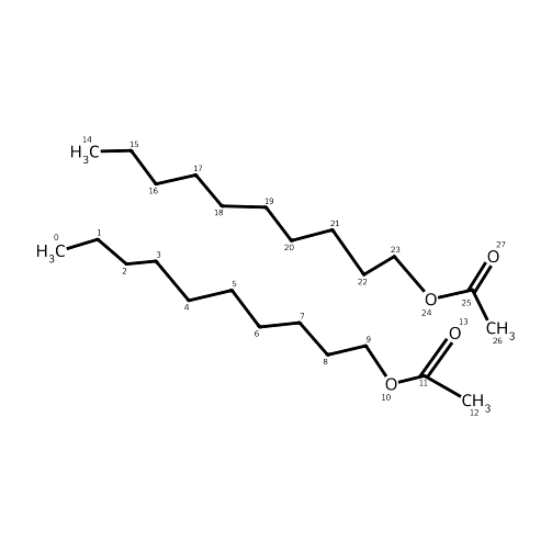 CCCCCCCCCCOC(C)=O.CCCCCCCCCCOC(C)=O